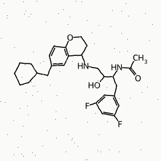 CC(=O)NC(Cc1cc(F)cc(F)c1)C(O)CNC1CCOc2ccc(CC3CCCCC3)cc21